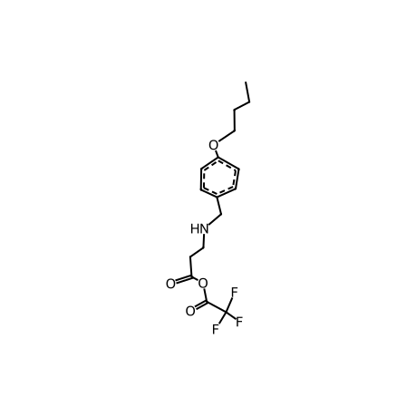 CCCCOc1ccc(CNCCC(=O)OC(=O)C(F)(F)F)cc1